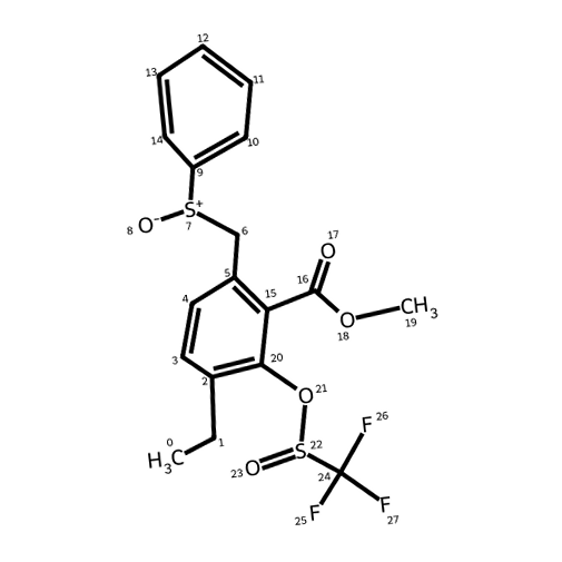 CCc1ccc(C[S+]([O-])c2ccccc2)c(C(=O)OC)c1OS(=O)C(F)(F)F